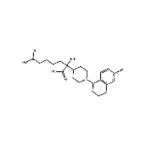 NC(CCCCB(O)O)(C(=O)O)C1CCN(C2CCCc3cc(Cl)ccc32)CC1